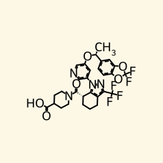 C[C@H](Oc1cncc(-n2nc(C(F)(F)F)c3c2[C@@H](C(=O)N2CCC(C(=O)O)CC2)CCC3)c1)c1ccc2c(c1)OC(F)(F)O2